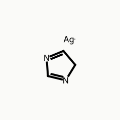 C1=NC=NC1.[Ag]